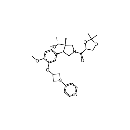 COc1ccc([C@@H]2CN(C(=O)[C@@H]3COC(C)(C)O3)C[C@@]2(C)[C@@H](C)O)cc1OC1CN(c2ccncc2)C1